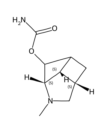 CN1C[C@H]2CC3C(OC(N)=O)[C@@H]1[C@H]32